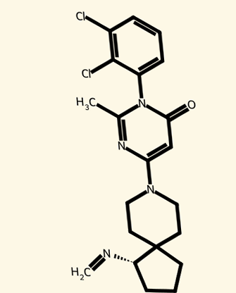 C=N[C@H]1CCCC12CCN(c1cc(=O)n(-c3cccc(Cl)c3Cl)c(C)n1)CC2